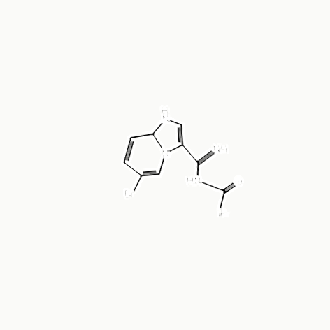 CC(C)C(=O)NC(=N)C1=CNC2C=CC(Br)=CN12